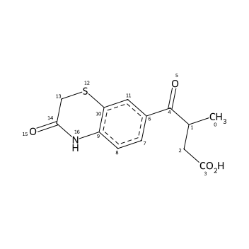 CC(CC(=O)O)C(=O)c1ccc2c(c1)SCC(=O)N2